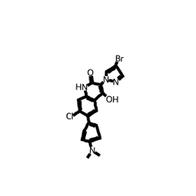 CN(C)c1ccc(-c2cc3c(O)c(-n4cc(Br)cn4)c(=O)[nH]c3cc2Cl)cc1